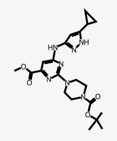 COC(=O)c1cc(Nc2cc(C3CC3)[nH]n2)nc(N2CCN(C(=O)OC(C)(C)C)CC2)n1